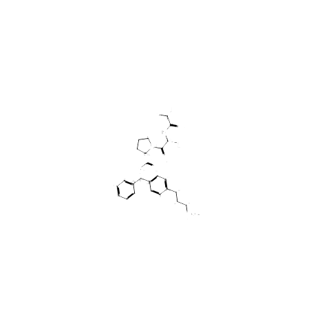 CC[C@H](N)C(=O)N[C@H](C(=O)N1CCC[C@H]1C(=O)N[C@@H](c1ccccc1)c1ccc(CCCOC)cc1)C(C)C